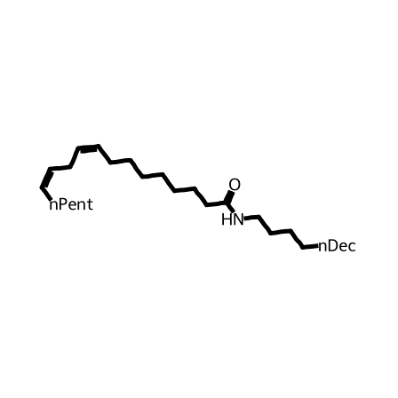 CCCCC/C=C\C/C=C\CCCCCCCC(=O)NCCCCCCCCCCCCCC